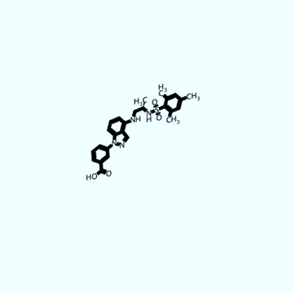 Cc1cc(C)c(S(=O)(=O)N[C@@H](C)CNc2cccc3c2cnn3-c2cccc(C(=O)O)c2)c(C)c1